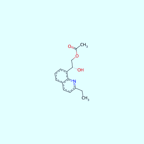 CCc1ccc2cccc([C@@H](O)COC(C)=O)c2n1